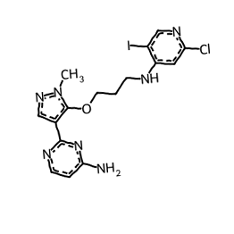 Cn1ncc(-c2nccc(N)n2)c1OCCCNc1cc(Cl)ncc1I